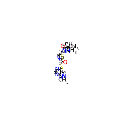 Cn1ncc2c(SCC(=O)c3ncc(CNC(=O)C(C)(C)C)s3)ncnc21